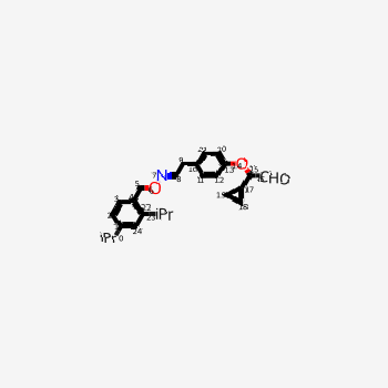 CC(C)c1ccc(CON=CCc2ccc(OC(C=O)C3CC3)cc2)c(C(C)C)c1